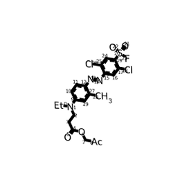 CCN(CCC(=O)OCC(C)=O)c1ccc(N=Nc2cc(Cl)c(S(=O)(=O)F)cc2Cl)c(C)c1